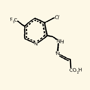 O=C(O)C=NNc1ncc(C(F)(F)F)cc1Cl